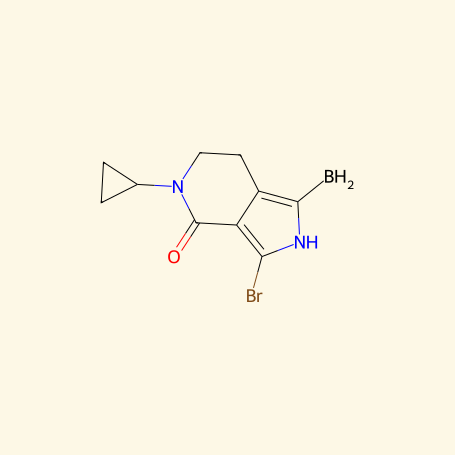 Bc1[nH]c(Br)c2c1CCN(C1CC1)C2=O